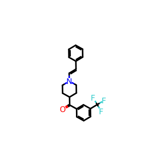 O=C(c1cccc(C(F)(F)F)c1)C1CCN(C=Cc2ccccc2)CC1